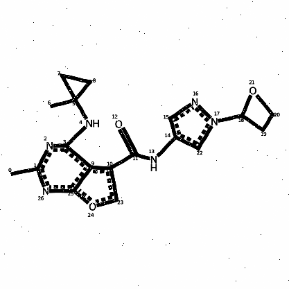 Cc1nc(NC2(C)CC2)c2c(C(=O)Nc3cnn(C4CCO4)c3)coc2n1